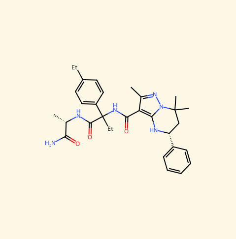 CCc1ccc(C(CC)(NC(=O)c2c(C)nn3c2N[C@@H](c2ccccc2)CC3(C)C)C(=O)N[C@@H](C)C(N)=O)cc1